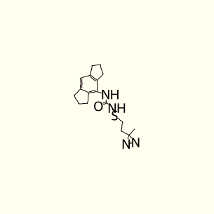 CC1(CCSNC(=O)Nc2c3c(cc4c2CCC4)CCC3)N=N1